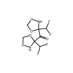 O=C(C1(C(F)F)NOCO1)C1(C(F)F)NOCO1